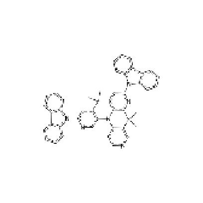 CC1(C)c2cc(-n3c4ccccc4c4ccccc43)ncc2N2c3ccncc3C(C)(C)c3nc(-n4c5ccccc5c5ccccc54)cc1c32